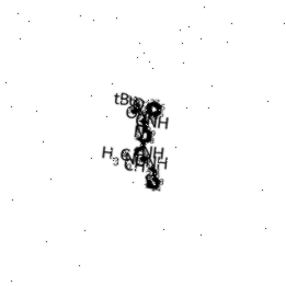 CN(C)CCC(NC(=O)NCCc1cccs1)c1ccc(C(=O)Nc2ccccc2NC(=O)OC(C)(C)C)nc1